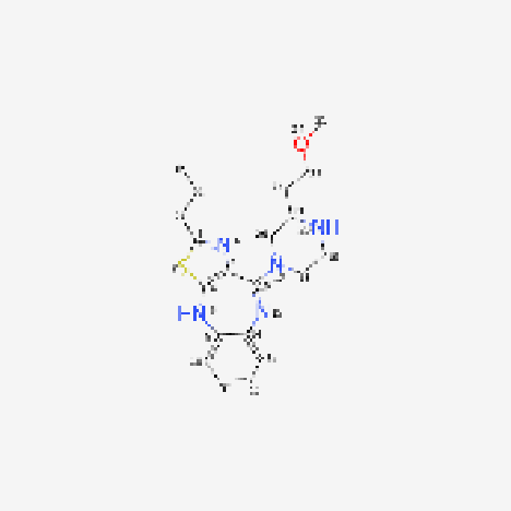 CCCc1nc2c(s1)Nc1ccccc1N=C2N1CCNC(CCOC)C1